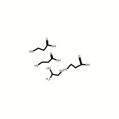 CC(O)CO.O=C(O)CCS.O=C(O)CCS.O=C(O)CCS